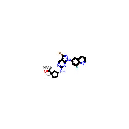 CNC(=O)[C@]1(C(C)C)CC[C@@H](Nc2ncc3c(Br)nn(-c4cc(F)c5ncccc5c4)c3n2)C1